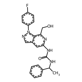 CC(NC(=O)Nc1cc2cnn(-c3ccc(F)cc3)c2c(CO)n1)c1ccccc1